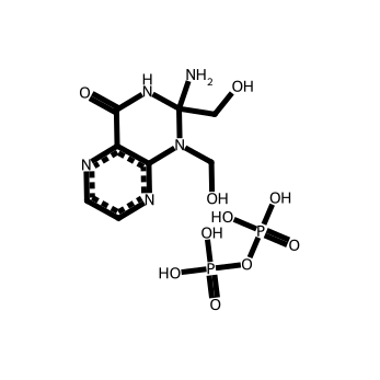 NC1(CO)NC(=O)c2nccnc2N1CO.O=P(O)(O)OP(=O)(O)O